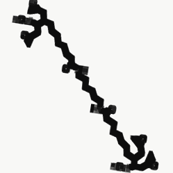 CCCCCCCCC(CC1CO1)C(CCCCCCCC(=O)NCCCCCCNC(=O)CCCCCCCC(CC1CO1)C(CCCCCCCC)CC1CO1)CC1CO1